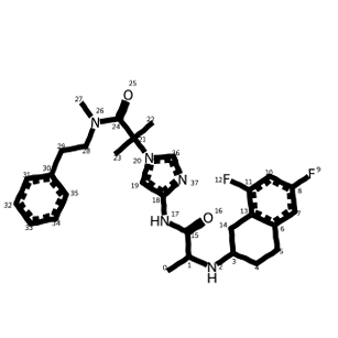 CC(NC1CCc2cc(F)cc(F)c2C1)C(=O)Nc1cn(C(C)(C)C(=O)N(C)CCc2ccccc2)cn1